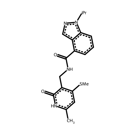 CSc1cc(C)[nH]c(=O)c1CNC(=O)c1cccc2c1cnn2C(C)C